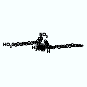 COCCOCCOCCOCCOCCOCCOCCOCCOCCOCC(=O)NCCCC[C@H](NC(=O)CCCN1C(=O)C=CC1=O)C(=O)N[C@H](C(=O)N[C@@H](C)C(=O)Nc1ccc(COC(=O)Oc2ccc([N+](=O)[O-])cc2)c(C(=O)NCCOCCOCCOCCOCCOCCOCCOCCOCCC(=O)O)c1)C(C)C